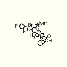 Cc1cc(OCc2ccc(F)cc2F)c(Br)c(=O)n1Cc1cc(C(=O)O)n(C2CCCCO2)n1.[Na+].[OH-]